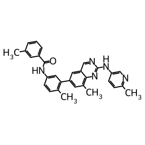 Cc1cccc(C(=O)Nc2ccc(C)c(-c3cc(C)c4nc(Nc5ccc(C)nc5)ncc4c3)c2)c1